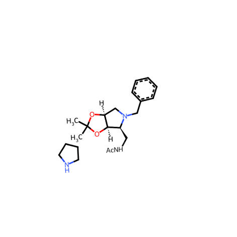 C1CCNC1.CC(=O)NC[C@H]1[C@H]2OC(C)(C)O[C@H]2CN1Cc1ccccc1